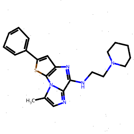 Cc1cnc2c(NCCN3CCCCC3)nc3cc(-c4ccccc4)sc3n12